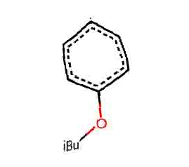 CCC(C)Oc1cc[c]cc1